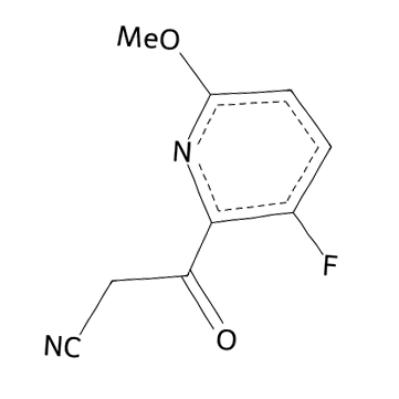 COc1ccc(F)c(C(=O)CC#N)n1